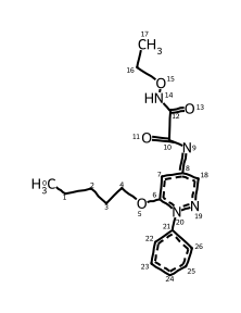 CCCCCOc1c/c(=N\C(=O)C(=O)NOCC)cnn1-c1ccccc1